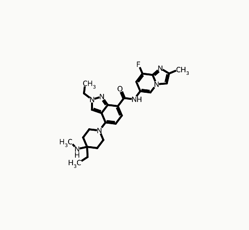 CCn1cc2c(N3CCC(CC)(NC)CC3)ccc(C(=O)Nc3cc(F)c4nc(C)cn4c3)c2n1